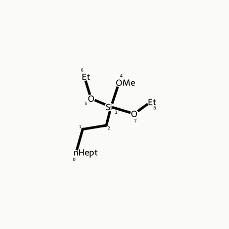 CCCCCCCCC[Si](OC)(OCC)OCC